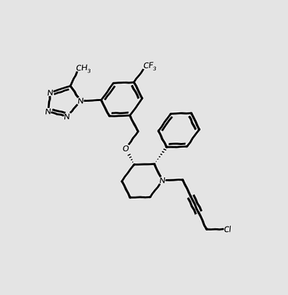 Cc1nnnn1-c1cc(CO[C@H]2CCCN(CC#CCCl)[C@H]2c2ccccc2)cc(C(F)(F)F)c1